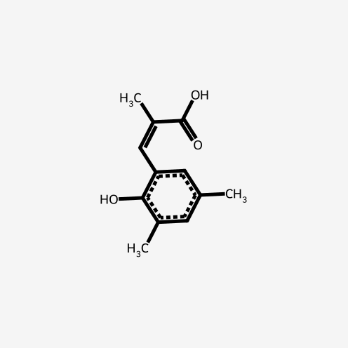 CC(=Cc1cc(C)cc(C)c1O)C(=O)O